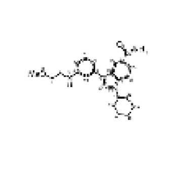 COCCNc1cccc(-c2nn(C3CCCCO3)c3ccc(C(N)=O)cc23)c1